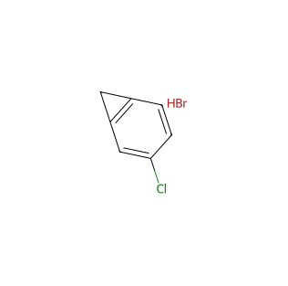 Br.Clc1ccc2c(c1)C2